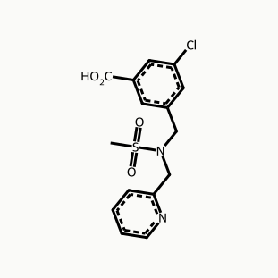 CS(=O)(=O)N(Cc1cc(Cl)cc(C(=O)O)c1)Cc1ccccn1